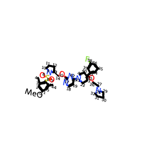 COc1cc(C)c(S(=O)(=O)N2CCC[C@H]2COc2nccc(N3CCC(OCCN4CCCC4)(c4cccc(F)c4)CC3)n2)c(C)c1